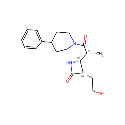 C[C@@H](C(=O)N1CCC(c2ccccc2)CC1)[C@H]1NC(=O)[C@H]1CCO